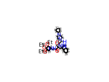 CCOc1cc(CNC(=O)C(C)(Cc2c[nH]c3ccccc23)NC(=O)CN2CCN(C3CCCCC3)CC2)cc(OCC)c1OCC